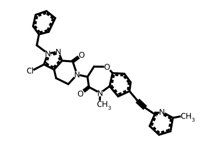 Cc1cccc(C#Cc2ccc3c(c2)N(C)C(=O)C(N2CCc4c(nn(Cc5ccccc5)c4Cl)C2=O)CO3)n1